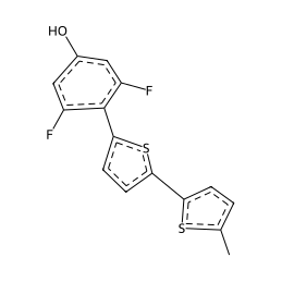 Cc1ccc(-c2ccc(-c3c(F)cc(O)cc3F)s2)s1